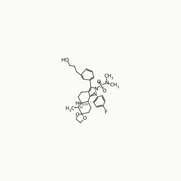 C[C@H]1[C@@H]2CCc3c(nn(S(=O)(=O)N(C)C)c3-c3cccc(CCCO)c3)[C@@]2(c2cccc(F)c2)CCC12OCCO2